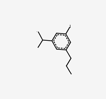 [CH2]C(C)c1cc(I)cc(CCC)c1